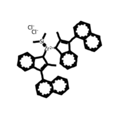 CC1=C(c2cccc3ccccc23)c2ccccc2[CH]1[Zr+2]([CH]1C(C)=C(c2cccc3ccccc23)c2ccccc21)=[Si](C)C.[Cl-].[Cl-]